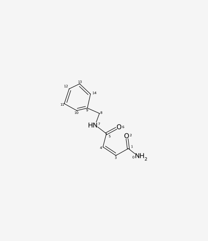 NC(=O)/C=C\C(=O)NCc1ccccc1